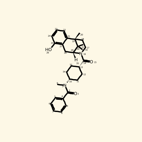 CN(C(=O)c1ccccc1)[C@H]1CC[C@@H](C(=O)N2CC[C@@]3(C)c4cccc(O)c4C[C@@H]2C3(C)C)CC1